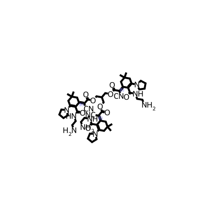 CC1(C)CC(N2CCCC2)=C(C(=O)NCCN)/C(=C(\C#N)C(=O)OCC(COC(=O)/C(C#N)=C2\CC(C)(C)CC(N3CCCC3)=C2C(=O)NCCN)COC(=O)/C(C#N)=C2\CC(C)(C)CC(N3CCCC3)=C2C(=O)NCCN)C1